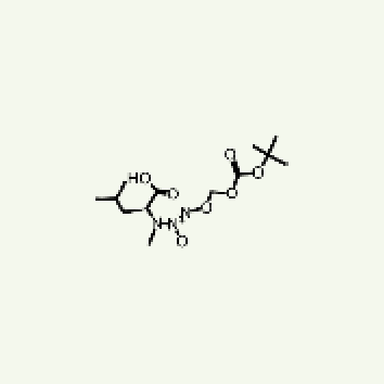 CC(C)C[C@@H](C(=O)O)N(C)/[N+]([O-])=N/OCOC(=O)OC(C)(C)C